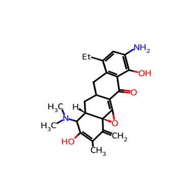 C=C1C(C)=C(O)C(N(C)C)[C@@H]2CC3Cc4c(CC)cc(N)c(O)c4C(=O)C3=C3O[C@]132